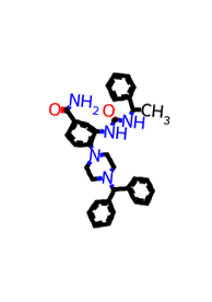 CC(NC(=O)Nc1cc(C(N)=O)ccc1N1CCN(C(c2ccccc2)c2ccccc2)CC1)c1ccccc1